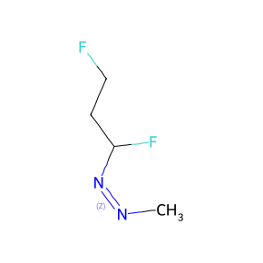 C/N=N\C(F)CCF